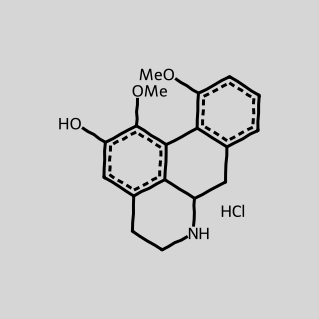 COc1cccc2c1-c1c(OC)c(O)cc3c1C(C2)NCC3.Cl